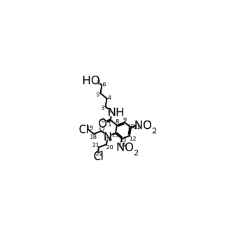 O=C(NCCCCO)c1cc([N+](=O)[O-])cc([N+](=O)[O-])c1N(CCCl)CCCl